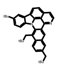 CC(C)(C)Cc1ccc2c(CC(C)(C)C)c3c(cc2c1)c1nccc2ccc4c5cc(C(C)(C)C)ccc5n3c4c21